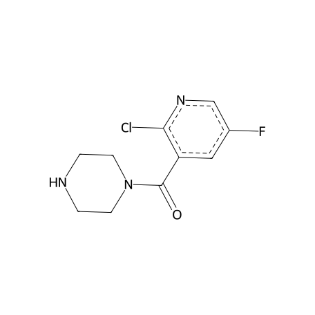 O=C(c1cc(F)cnc1Cl)N1CCNCC1